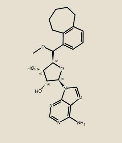 COC(c1cccc2c1CCCCC2)[C@H]1O[C@@H](n2cnc3c(N)ncnc32)[C@H](O)[C@@H]1O